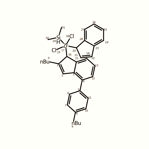 CCCCC1=Cc2c(-c3ccc(CCCC)cc3)cccc2[CH]1[Zr]([Cl])([Cl])([CH]1C=Cc2ccccc21)[SiH](C)C